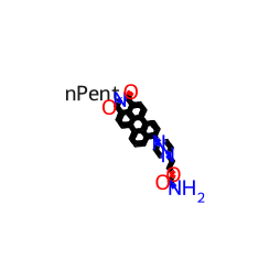 CCCCCN1C(=O)c2ccc3c4cccc5c(N6CCN(CCOC(N)=O)CC6)ccc(c6ccc(c2c36)C1=O)c54